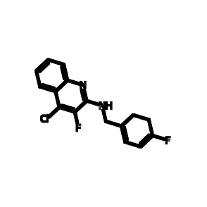 FC1=CC=C(CNc2nc3ccccc3c(Cl)c2F)CC1